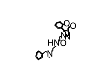 CN(CCCNC(=O)Cn1ncc2c(=O)oc3ccccc3c21)Cc1ccccc1